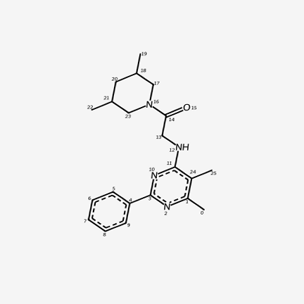 Cc1nc(-c2ccccc2)nc(NCC(=O)N2CC(C)CC(C)C2)c1C